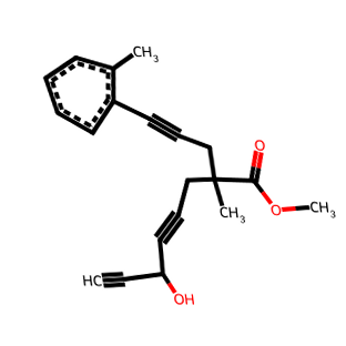 C#CC(O)C#CCC(C)(CC#Cc1ccccc1C)C(=O)OC